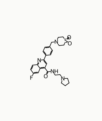 O=C(NCCN1CCCC1)c1cc(-c2ccc(CN3CCS(=O)(=O)CC3)cc2)nc2ccc(F)cc12